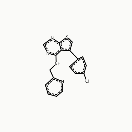 Clc1ccc(-c2csc3ncnc(NCc4ccccn4)c23)cc1